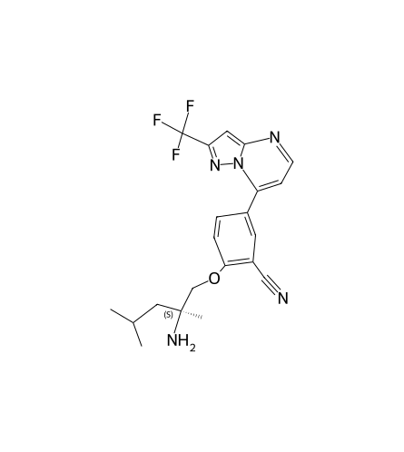 CC(C)C[C@](C)(N)COc1ccc(-c2ccnc3cc(C(F)(F)F)nn23)cc1C#N